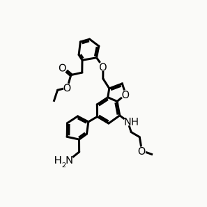 CCOC(=O)Cc1ccccc1OCc1coc2c(NCCOC)cc(-c3cccc(CN)c3)cc12